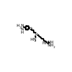 CNCCN(CCCCCCCNC(=N)N)CCCCOc1ccc(C(=N)N)cc1